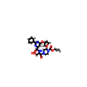 CCOC(=O)N1CCN(C(=O)C(CO)NC(=O)c2cc(O[C@H]3CCOC3)nc(-c3ccccc3)n2)CC1